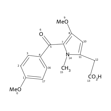 COc1ccc(C(=O)c2c(OC)cc(CC(=O)O)n2C)cc1